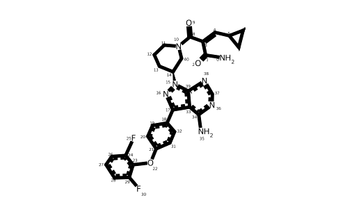 NC(=O)/C(=C\C1CC1)C(=O)N1CCC[C@H](n2nc(-c3ccc(Oc4c(F)cccc4F)cc3)c3c(N)ncnc32)C1